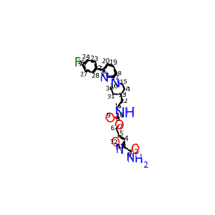 NC(=O)c1cc(COC(=O)NCCC2CCN(c3cccc(-c4ccc(F)cc4)n3)CC2)on1